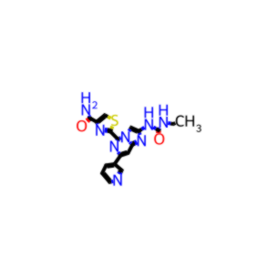 CCNC(=O)Nc1cn2c(-c3nc(C(N)=O)cs3)nc(-c3cccnc3)cc2n1